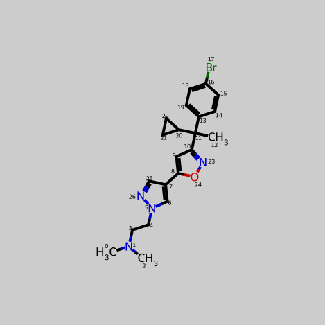 CN(C)CCn1cc(-c2cc(C(C)(c3ccc(Br)cc3)C3CC3)no2)cn1